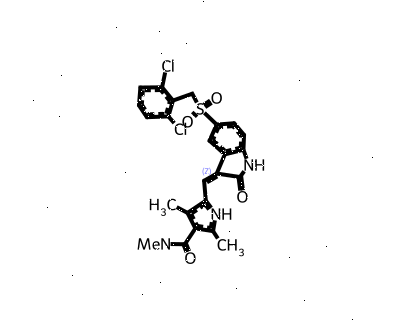 CNC(=O)c1c(C)[nH]c(/C=C2\C(=O)Nc3ccc(S(=O)(=O)Cc4c(Cl)cccc4Cl)cc32)c1C